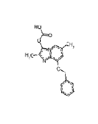 Cc1cc(OCc2ccccc2)c2nc(C)c(OC(=O)O)n2c1